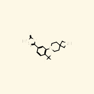 O=c1[nH]nc(-c2ccc(C(F)(F)F)c(N3CCC4(CC3)CNC4)c2)o1